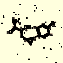 NC(=O)N(O)C[C@@H]1C[C@H]1c1ccc(Br)cc1